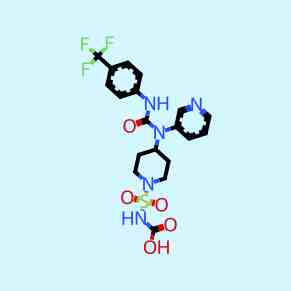 O=C(O)NS(=O)(=O)N1CCC(N(C(=O)Nc2ccc(C(F)(F)F)cc2)c2cccnc2)CC1